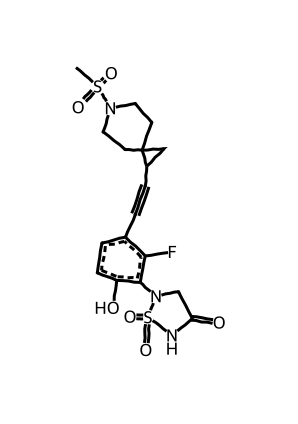 CS(=O)(=O)N1CCC2(CC1)CC2C#Cc1ccc(O)c(N2CC(=O)NS2(=O)=O)c1F